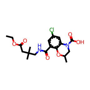 CCOC(=O)CC(C)(C)CNC(=O)c1cc(Cl)cc2c1OC(C)CN2C(=O)O